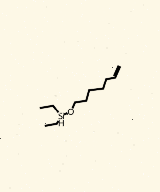 C=CCCCCCO[SiH](CC)CC